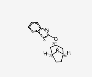 CN1[C@@H]2CC[C@H]1C[C@H](Oc1nc3ccccc3s1)C2